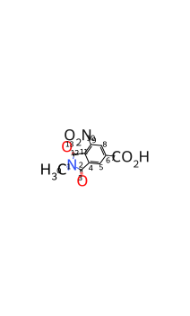 CN1C(=O)c2cc(C(=O)O)cc([N+](=O)[O-])c2C1=O